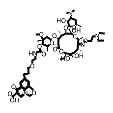 CC[C@H]1OC(=O)[C@H](C)[C@@H](O[C@H]2C[C@@](C)(OC)[C@@H](OC(=O)NCCOCCCc3cc4c5c(c3)c(=O)c(C(=O)O)cn5COC4)[C@H](C)O2)[C@H](C)[C@@H](OC2O[C@H](C)C[C@H](N(C)C)[C@H]2O)[C@](C)(O)C[C@@H](C)/C(=N\OCCN(CC)CC)[C@H](C)[C@@H](O)[C@]1(C)O